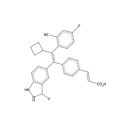 N#Cc1cc(F)ccc1/C(=C(\c1ccc(/C=C/C(=O)O)cc1)c1ccc2c(c1)C(F)NN2)C1CCC1